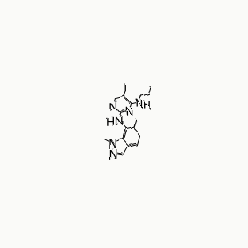 CCCNc1nc(NC2=c3c(cnn3C)=CCC2C)ncc1I